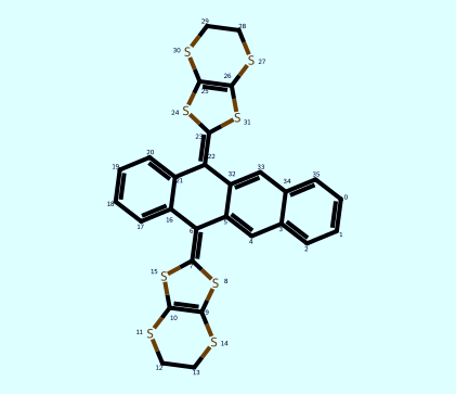 c1ccc2cc3c(=C4SC5=C(SCCS5)S4)c4ccccc4c(=C4SC5=C(SCCS5)S4)c3cc2c1